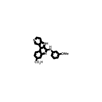 COc1cccc(Nc2nc3cc(C(=O)O)ccc3c3c2[nH]c2ccncc23)c1